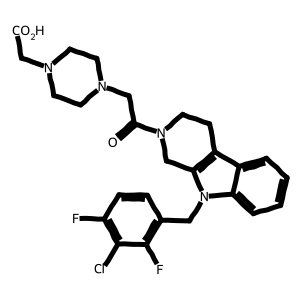 O=C(O)CN1CCN(CC(=O)N2CCc3c(n(Cc4ccc(F)c(Cl)c4F)c4ccccc34)C2)CC1